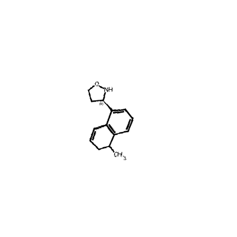 CC1CC=Cc2c1cccc2[C@H]1CCON1